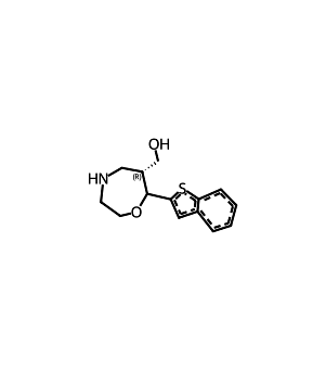 OC[C@H]1CNCCOC1c1cc2ccccc2s1